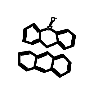 [O-][S+]1c2ccccc2Cc2ccccc21.c1ccc2cc3ccccc3cc2c1